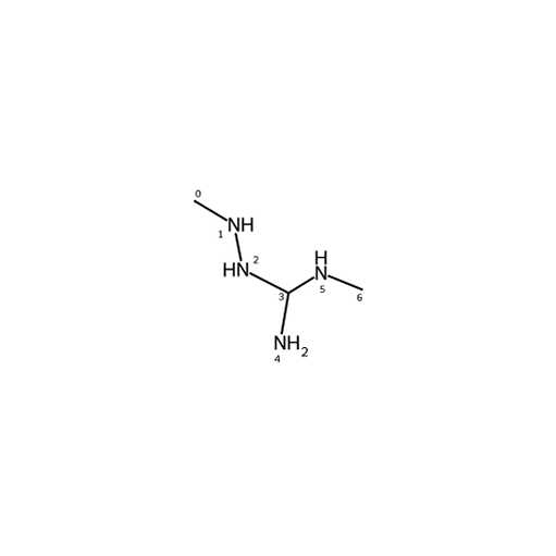 CNNC(N)NC